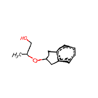 CC(CO)OC1Cc2ccccc2C1